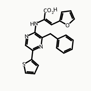 O=C(O)C(=Cc1ccco1)Nc1ncc(-c2cccs2)nc1Cc1ccccc1